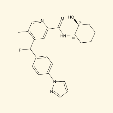 Cc1cnc(C(=O)N[C@H]2CCCC[C@@H]2O)cc1C(F)c1ccc(-n2cccn2)cc1